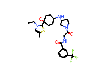 CCN1C=C(C)SC1C1(O)CCC(N[C@H]2CCN(C(=O)CNC(=O)c3cccc(C(F)(F)F)c3)C2)CC1